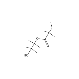 CCC(C)(C)C(=O)OC(C)(C)C(C)(C)O